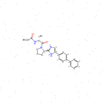 COC(=O)N[C@@H](C(=O)N1CCC[C@@H]1c1ncc(-c2ccc(-c3ccccc3)cc2)[nH]1)C(C)C